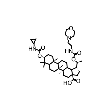 C[C@H](OC(=O)NCCN1CCOCC1)[C@@H]1CC[C@]2(C(=O)O)CC[C@]3(C)C(CCC4[C@@]5(C)CC[C@@H](OC(=O)NC6CC6)C(C)(C)C5CC[C@]43C)C12